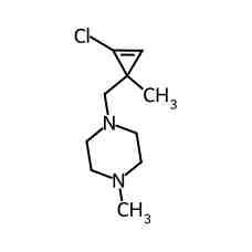 CN1CCN(CC2(C)C=C2Cl)CC1